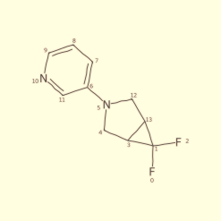 FC1(F)C2CN(c3cccnc3)CC21